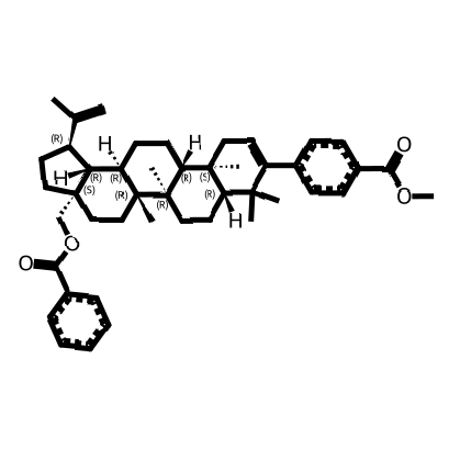 C=C(C)[C@@H]1CC[C@]2(COC(=O)c3ccccc3)CC[C@]3(C)[C@H](CC[C@@H]4[C@@]5(C)CC=C(c6ccc(C(=O)OC)cc6)C(C)(C)[C@@H]5CC[C@]43C)[C@@H]12